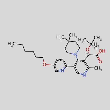 CCCCCCOc1ccc(-c2cnc(C)c([C@H](OC(C)(C)C)C(=O)O)c2N2CCC(C)(C)CC2)nc1